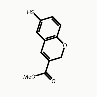 COC(=O)C1=Cc2cc(S)ccc2OC1